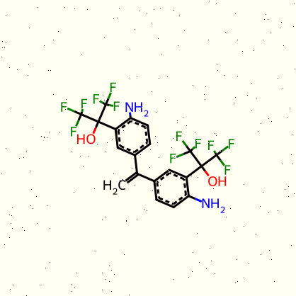 C=C(c1ccc(N)c(C(O)(C(F)(F)F)C(F)(F)F)c1)c1ccc(N)c(C(O)(C(F)(F)F)C(F)(F)F)c1